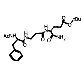 CC(=O)NC(Cc1ccccc1)C(=O)NCCC(=O)N[C@@H](CCC(=O)OC(C)(C)C)C(N)=O